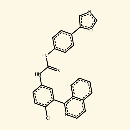 S=C(Nc1ccc(-c2cnco2)cc1)Nc1ccc(Cl)c(-c2nccc3ccccc23)c1